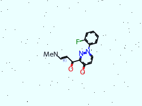 CN/C=C/C(=O)c1nn(-c2ccccc2F)ccc1=O